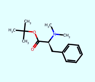 CN(C)[C@@H](Cc1ccccc1)C(=O)OC(C)(C)C